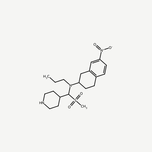 CCCN(C1CCc2ccc([N+](=O)[O-])cc2C1)C(C1CCNCC1)S(C)(=O)=O